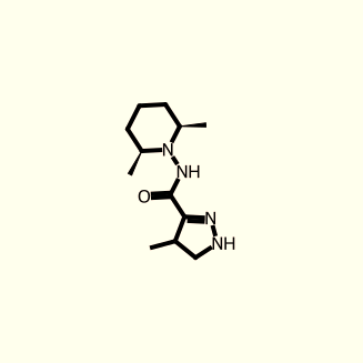 CC1CNN=C1C(=O)NN1[C@H](C)CCC[C@@H]1C